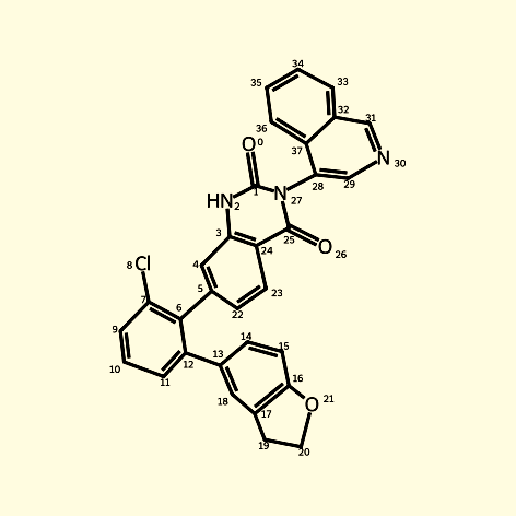 O=c1[nH]c2cc(-c3c(Cl)cccc3-c3ccc4c(c3)CCO4)ccc2c(=O)n1-c1cncc2ccccc12